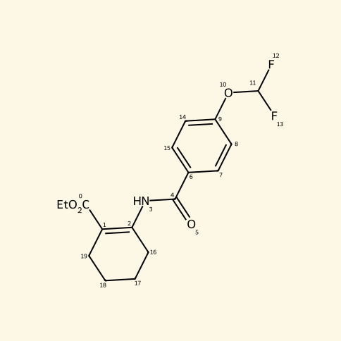 CCOC(=O)C1=C(NC(=O)c2ccc(OC(F)F)cc2)CCCC1